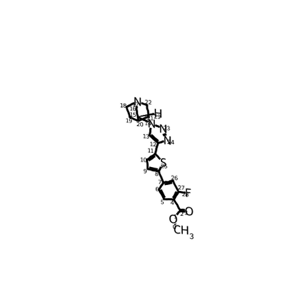 COC(=O)c1ccc(-c2ccc(-c3cn([C@H]4CN5CCC4CC5)nn3)s2)cc1F